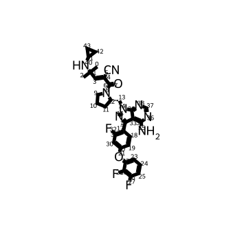 CC(C)(C=C(C#N)C(=O)N1CCC[C@H]1Cn1nc(-c2ccc(Oc3cccc(F)c3F)cc2F)c2c(N)ncnc21)NC1CC1